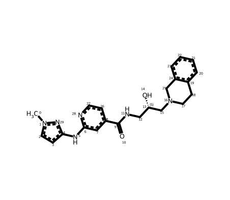 Cn1ccc(Nc2cc(C(=O)NC[C@H](O)CN3CCc4ccccc4C3)ccn2)n1